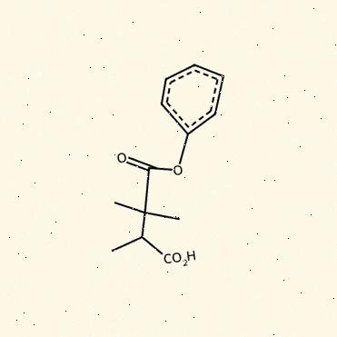 CC(C(=O)O)C(C)(C)C(=O)Oc1ccccc1